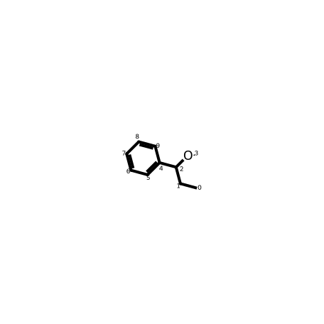 CCC([O])c1ccccc1